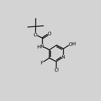 CC(C)(C)OC(=O)Nc1cc(O)nc(Cl)c1F